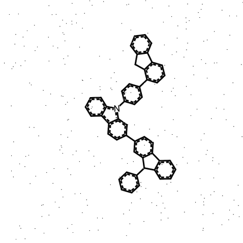 c1ccc(C2c3ccccc3-c3ccc(-c4ccc5c6ccccc6n(-c6ccc(-c7cccc8c7Cc7ccccc7-8)cc6)c5c4)cc32)cc1